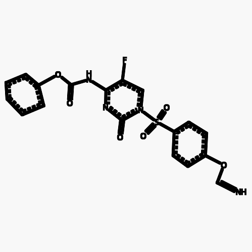 N=COc1ccc(S(=O)(=O)n2cc(F)c(NC(=O)Oc3ccccc3)nc2=O)cc1